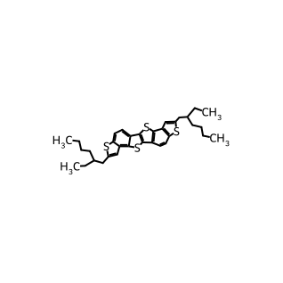 CCCCC(CC)Cc1cc2c(ccc3c2sc2c4ccc5sc(CC(CC)CCCC)cc5c4sc32)s1